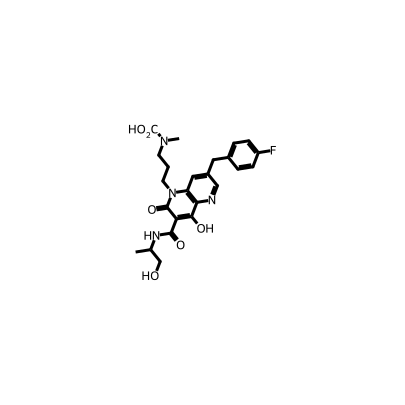 CC(CO)NC(=O)c1c(O)c2ncc(Cc3ccc(F)cc3)cc2n(CCCN(C)C(=O)O)c1=O